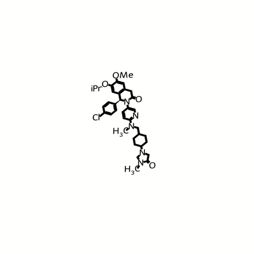 COc1cc2c(cc1OC(C)C)[C@H](c1ccc(Cl)cc1)N(c1ccc(N(C)CC3CCC(N4CC(=O)N(C)C4)CC3)nc1)C(=O)C2